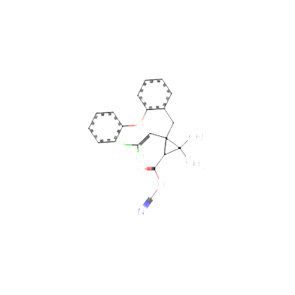 CC1(C)C(C(=O)OC#N)C1(C=C(Cl)Cl)Cc1ccccc1Oc1ccccc1